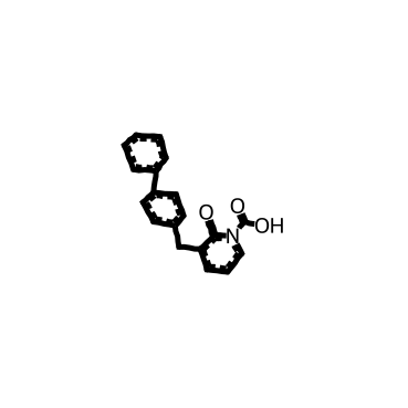 O=C(O)n1cccc(Cc2ccc(-c3ccccc3)cc2)c1=O